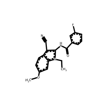 CCn1c(NC(=O)c2cccc(F)c2)c(C#N)c2ccc(OC)cc21